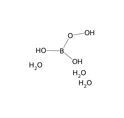 O.O.O.OOB(O)O